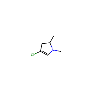 CC1CC(Cl)=CN1C